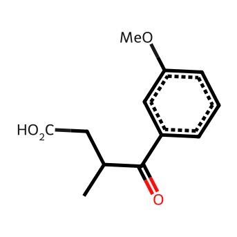 COc1cccc(C(=O)C(C)CC(=O)O)c1